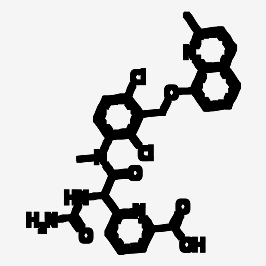 Cc1ccc2cccc(OCc3c(Cl)ccc(N(C)C(=O)C(NC(N)=O)c4cccc(C(=O)O)n4)c3Cl)c2n1